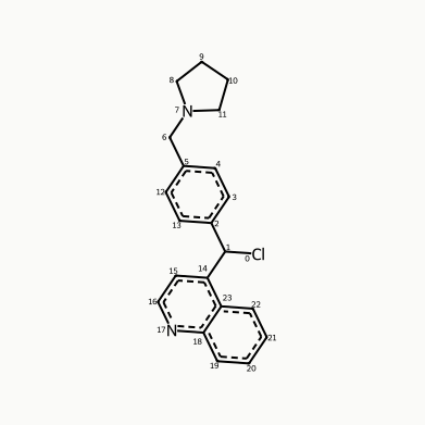 ClC(c1ccc(CN2CCCC2)cc1)c1ccnc2ccccc12